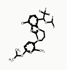 Cc1nc(OC(C)C)ccc1N1CCCn2c1nc1c(Cl)ccc(C(OC(F)F)C(F)(F)F)c12